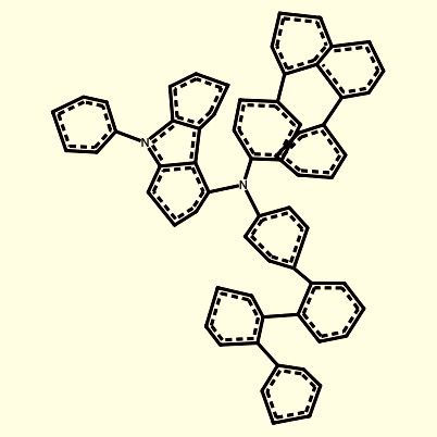 c1ccc(-c2ccccc2-c2ccccc2-c2ccc(N(c3ccc(-c4cccc5cccc(-c6ccccc6)c45)cc3)c3cccc4c3c3ccccc3n4-c3ccccc3)cc2)cc1